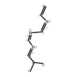 C=C\N=C/N=C\N=C\C(C)C